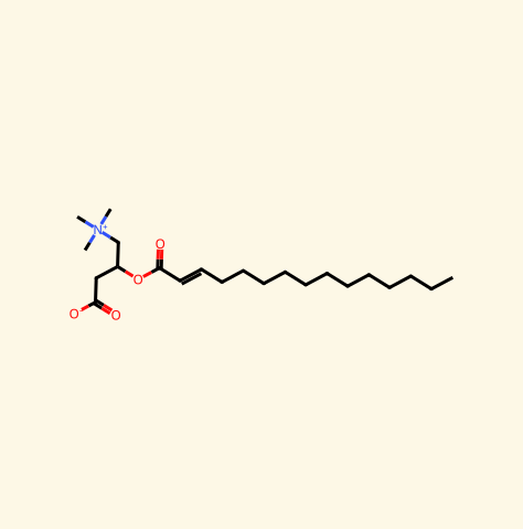 CCCCCCCCCCCCC=CC(=O)OC(CC(=O)[O-])C[N+](C)(C)C